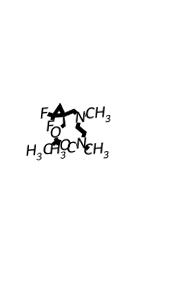 CC(=O)OC[C@]1(CN(C)CCN(C)C)CC1(F)F